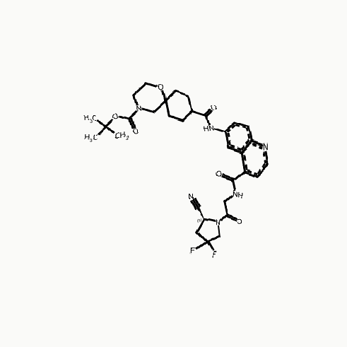 CC(C)(C)OC(=O)N1CCOC2(CCC(C(=O)Nc3ccc4nccc(C(=O)NCC(=O)N5CC(F)(F)C[C@H]5C#N)c4c3)CC2)C1